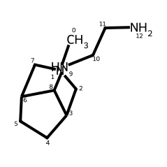 CN1CC2CCC(C1)C2NCCN